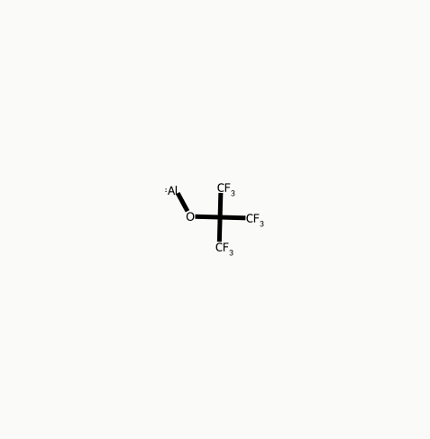 FC(F)(F)C([O][Al])(C(F)(F)F)C(F)(F)F